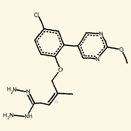 COc1ncc(-c2cc(Cl)ccc2OC/C(C)=C\C(=NN)NN)cn1